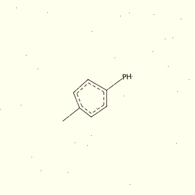 Cc1ccc([PH])cc1